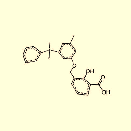 Cc1cc(OCc2cccc(C(=O)O)c2O)cc(C(C)(C)c2ccccc2)c1